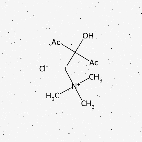 CC(=O)C(O)(C[N+](C)(C)C)C(C)=O.[Cl-]